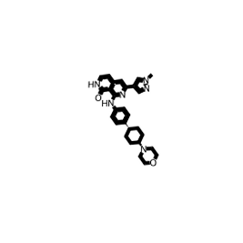 Cn1cc(-c2cc3cc[nH]c(=O)c3c(Nc3ccc([C@H]4CC[C@H](N5CCOCC5)CC4)cc3)n2)cn1